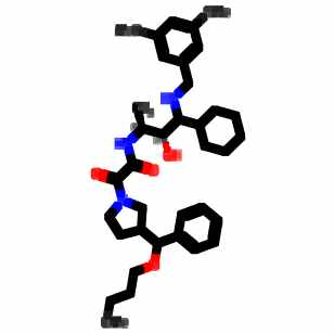 COCCCOC(c1ccccc1)C1CCN(C(=O)C(=O)N[C@@H](C)[C@@H](O)C(NCc2cc(OC)cc(OC)c2)C2CCCCC2)C1